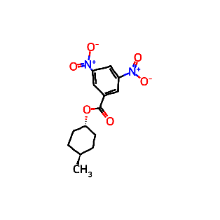 C[C@H]1CC[C@H](OC(=O)c2cc([N+](=O)[O-])cc([N+](=O)[O-])c2)CC1